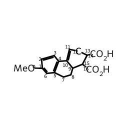 COc1ccc2c(c1)CCC1C2=CCC(C(=O)O)C1C(=O)O